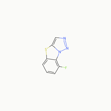 Fc1cccc2sc3cnnn3c12